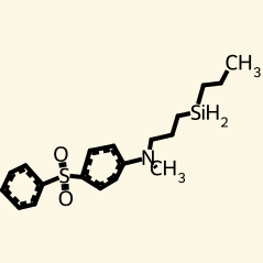 CCC[SiH2]CCCN(C)c1ccc(S(=O)(=O)c2ccccc2)cc1